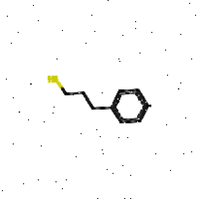 SCCCc1cc[c]cc1